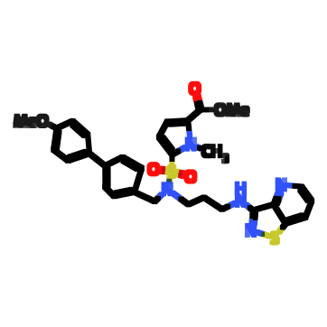 COC(=O)c1ccc(S(=O)(=O)N(CCCNc2nsc3cccnc23)Cc2ccc(-c3ccc(OC)cc3)cc2)n1C